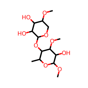 COC1COC(OC2C(C)OC(OC)C(O)C2OC)C(O)C1O